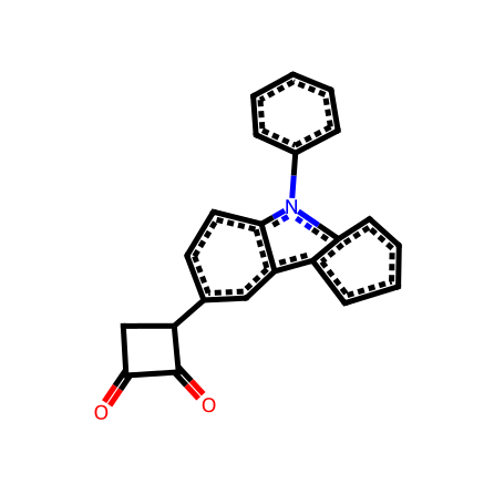 O=C1CC(c2ccc3c(c2)c2ccccc2n3-c2ccccc2)C1=O